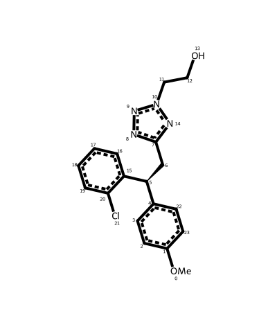 COc1ccc([C@H]([CH]c2nnn(CCO)n2)c2ccccc2Cl)cc1